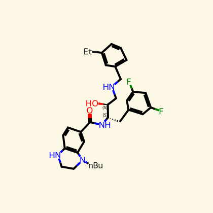 CCCCN1CCNc2ccc(C(=O)N[C@@H](Cc3cc(F)cc(F)c3)[C@@H](O)CNCc3cccc(CC)c3)cc21